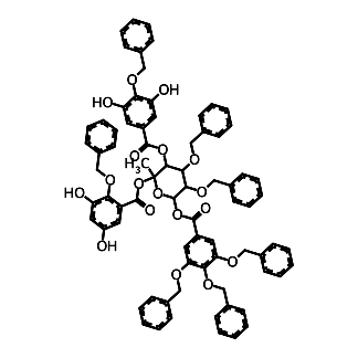 CC1(OC(=O)c2cc(O)cc(O)c2OCc2ccccc2)OC(OC(=O)c2cc(OCc3ccccc3)c(OCc3ccccc3)c(OCc3ccccc3)c2)C(OCc2ccccc2)C(OCc2ccccc2)C1OC(=O)c1cc(O)c(OCc2ccccc2)c(O)c1